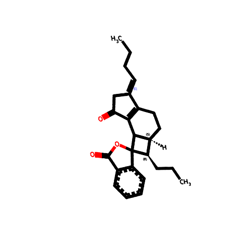 CCC/C=C1\CC(=O)C2=C1CC[C@@H]1C2C2(OC(=O)c3ccccc32)[C@@H]1CCC